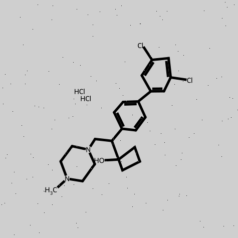 CN1CCN(CC(c2ccc(-c3cc(Cl)cc(Cl)c3)cc2)C2(O)CCC2)CC1.Cl.Cl